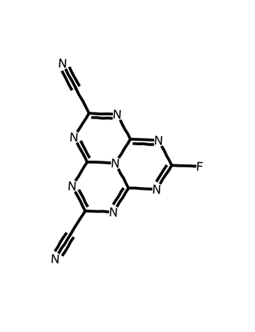 N#CC1=NC2=NC(F)=NC3=NC(C#N)=NC(=N1)N23